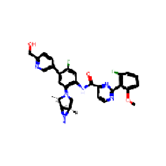 COc1cccc(F)c1-c1nccc(C(=O)Nc2cc(F)c(-c3ccc(CO)nc3)cc2N2C[C@H]3NC3[C@@H]2C)n1